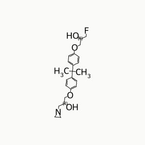 CC(C)(c1ccc(OC[C@@H](O)CF)cc1)c1ccc(OC[C@H](O)CN2CC2)cc1